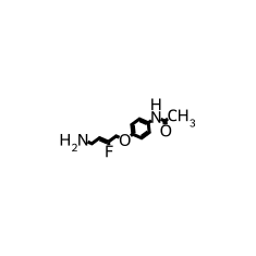 CC(=O)Nc1ccc(OCC(F)=CCN)cc1